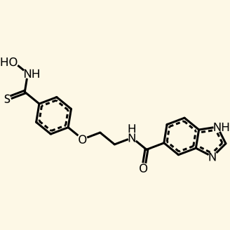 O=C(NCCOc1ccc(C(=S)NO)cc1)c1ccc2[nH]cnc2c1